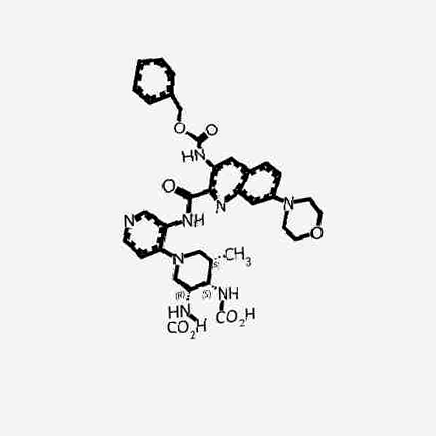 C[C@H]1CN(c2ccncc2NC(=O)c2nc3cc(N4CCOCC4)ccc3cc2NC(=O)OCc2ccccc2)C[C@@H](NC(=O)O)[C@H]1NC(=O)O